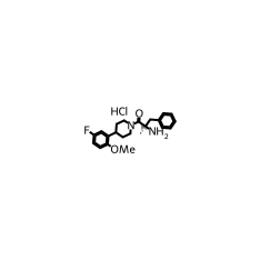 COc1ccc(F)cc1C1CCN(C(=O)[C@](C)(N)Cc2ccccc2)CC1.Cl